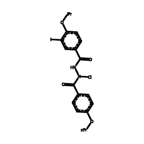 CCCOc1ccc(C(=O)N(Cl)NC(=O)c2ccc(OC(C)C)c(I)c2)cc1